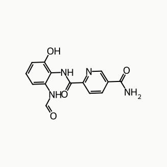 NC(=O)c1ccc(C(=O)Nc2c(O)cccc2NC=O)nc1